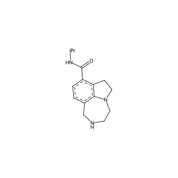 CC(C)NC(=O)c1ccc2c3c1CCN3CCNC2